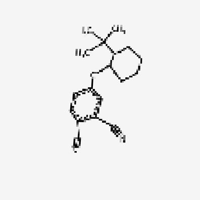 CC(C)(C)C1CCCCC1Oc1ccc(C#N)c(C#N)c1